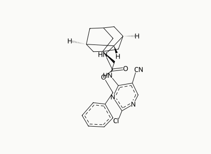 N#Cc1cnc(Cl)nc1NC[C@]12CC3C[C@H](C1)[C@@H](NC(=O)OCc1ccccc1)[C@@H](C3)C2